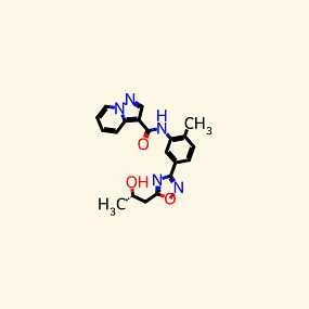 Cc1ccc(-c2noc(C[C@H](C)O)n2)cc1NC(=O)c1cnn2ccccc12